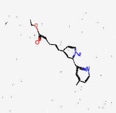 CCOC(=O)CCC=Cc1ccnc(-c2cc(C)ccn2)c1